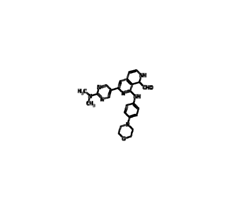 CN(C)c1ncc(-c2cc3c(c(Nc4ccc(N5CCOCC5)cc4)n2)C(C=O)NC=C3)cn1